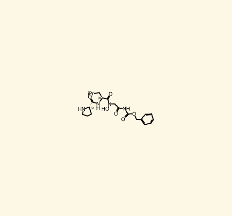 CC(C)C[C@H](NC(=O)[C@@H]1CCCN1)C(=O)N(O)CC(=O)NC(=O)OCc1ccccc1